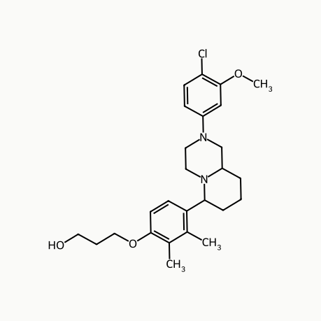 COc1cc(N2CCN3C(CCCC3c3ccc(OCCCO)c(C)c3C)C2)ccc1Cl